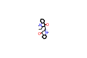 CCc1c(/C=C2\CC(=O)c3ccccc3N2C)c(=O)c2ccccc2n1C